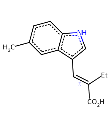 CC/C(=C\c1c[nH]c2ccc(C)cc12)C(=O)O